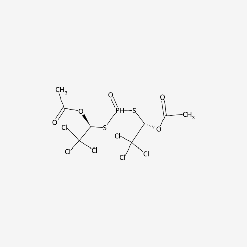 CC(=O)O[C@@H](S[PH](=O)S[C@H](OC(C)=O)C(Cl)(Cl)Cl)C(Cl)(Cl)Cl